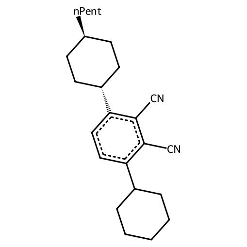 CCCCC[C@H]1CC[C@H](c2ccc(C3CCCCC3)c(C#N)c2C#N)CC1